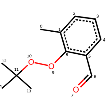 Cc1cccc([C]=O)c1OOC(C)(C)C